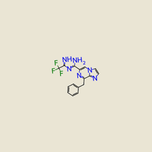 N=C(/N=C(\N)c1cn2ccnc2c(Cc2ccccc2)n1)C(F)(F)F